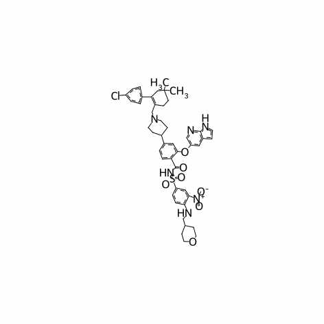 CC1(C)CCC(CN2CCC(c3ccc(C(=O)NS(=O)(=O)c4ccc(NCC5CCOCC5)c([N+](=O)[O-])c4)c(Oc4cnc5[nH]ccc5c4)c3)CC2)=C(c2ccc(Cl)cc2)C1